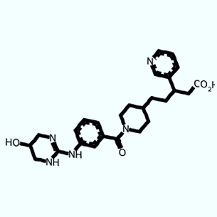 O=C(O)CC(CCC1CCN(C(=O)c2cccc(NC3=NCC(O)CN3)c2)CC1)c1cccnc1